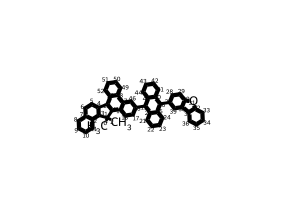 CC1(C)c2c(ccc3ccccc23)-c2c1c1ccc(-c3c4ccccc4c(-c4ccc5oc6ccccc6c5c4)c4ccccc34)cc1c1ccccc21